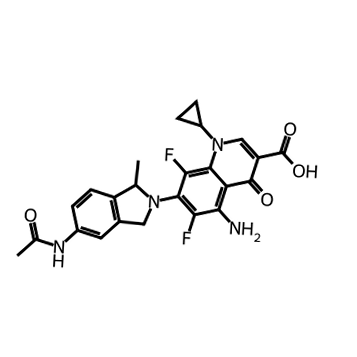 CC(=O)Nc1ccc2c(c1)CN(c1c(F)c(N)c3c(=O)c(C(=O)O)cn(C4CC4)c3c1F)C2C